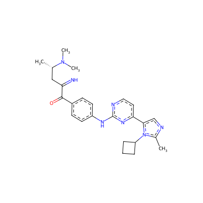 Cc1ncc(-c2ccnc(Nc3ccc(C(=O)C(=N)C[C@H](C)N(C)C)cc3)n2)n1C1CCC1